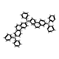 c1ccc(N(c2ccccc2)c2ccc3c(ccc4cc(N(c5ccccc5)c5ccc6c(ccc7cc(N(c8ccccc8)c8ccccc8)ccc76)c5)ccc43)c2)cc1